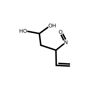 C=CC(CC(O)O)N=O